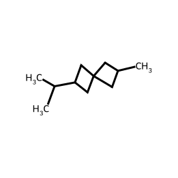 CC1CC2(C1)CC(C(C)C)C2